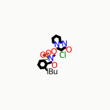 CCC(C)c1cccc2c1C(=O)N(COc1c(Cl)c(=O)nc3ccccn13)S2(=O)=O